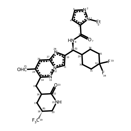 CCn1nccc1C(=O)N[C@H](c1cn2nc(CC3C[C@@H](C(F)(F)F)CNC3=O)c(C=O)cc2n1)C1CCC(F)(F)CC1